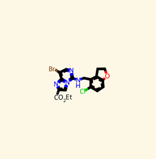 CCOC(=O)c1cn2c(NCc3c(Cl)ccc4c3CCO4)ncc(Br)c2n1